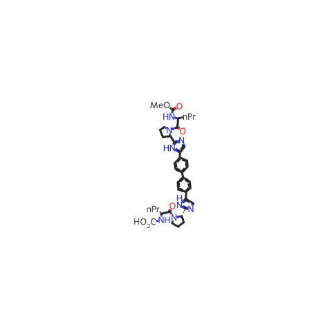 CCCC(NC(=O)OC)C(=O)N1CCCC1c1ncc(-c2ccc(-c3ccc(-c4cnc([C@@H]5CCCN5C(=O)[C@H](CCC)NC(=O)O)[nH]4)cc3)cc2)[nH]1